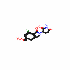 O=C1CCC(N2CC3=C(C2=O)C(F)=CC(=CO)C3)C(=O)N1